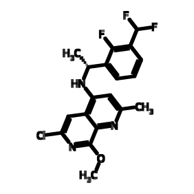 COc1nc(Cl)cc2c(N[C@H](C)c3cccc(C(F)F)c3F)cc(C)nc12